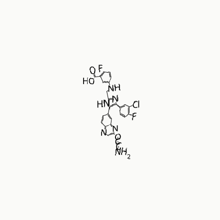 NCCOc1cnc2ccc(-c3[nH]c(CNc4ccc(F)c(C(=O)O)c4)nc3-c3ccc(F)c(Cl)c3)cc2n1